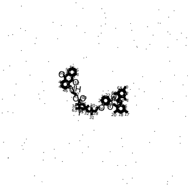 Cc1cc(C)c(C(=O)P(=O)(C(=O)c2c(C)cc(C)cc2C)c2cccc(OCCC(C)(C)CC(C)(C)CC(C)(C(=O)OCCNc3cccc4c3C(=O)c3ccccc3C4=O)C(C)(C)I)c2)c(C)c1